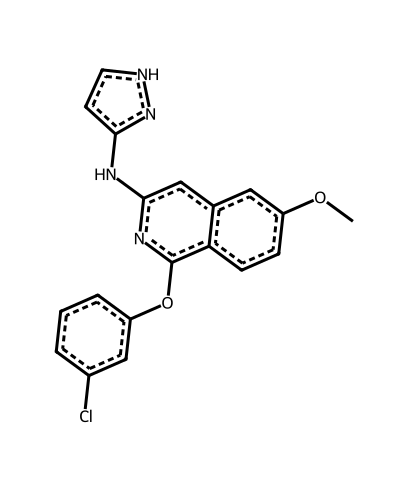 COc1ccc2c(Oc3cccc(Cl)c3)nc(Nc3cc[nH]n3)cc2c1